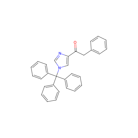 O=C(Cc1ccccc1)c1cn(C(c2ccccc2)(c2ccccc2)c2ccccc2)cn1